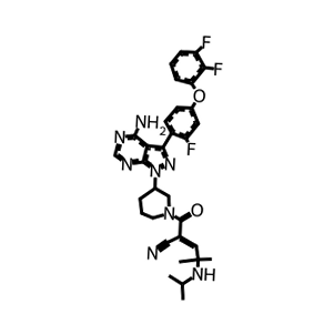 CC(C)NC(C)(C)C=C(C#N)C(=O)N1CCCC(n2nc(-c3ccc(Oc4cccc(F)c4F)cc3F)c3c(N)ncnc32)C1